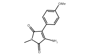 COc1ccc(C2=C(N)C(=O)N(C)C2=O)cc1